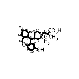 CC(C)(CN1CCC(=C2c3ccc(F)cc3COc3ccc(O)cc32)CC1)C(=O)O